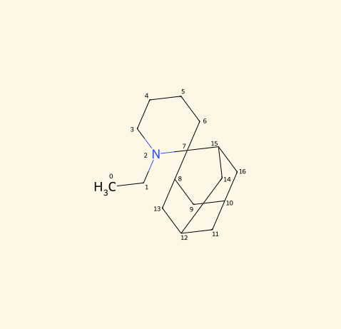 CCN1CCCCC12C1CC3CC(C1)CC2C3